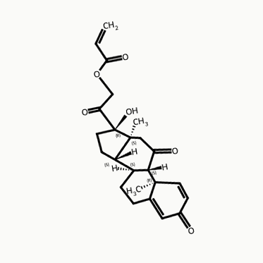 C=CC(=O)OCC(=O)[C@@]1(O)CC[C@H]2[C@@H]3CCC4=CC(=O)C=C[C@]4(C)[C@H]3C(=O)C[C@@]21C